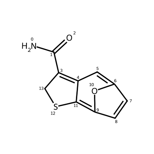 NC(=O)C1=C2C=c3ccc(o3)=C2SC1